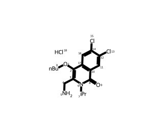 CCCCOc1c(CN)n(C(C)C)c(=O)c2cc(Cl)c(Cl)cc12.Cl